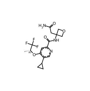 C[C@@H](Oc1cc(C(=O)NC2(CC(N)=O)COC2)ncc1C1CC1)C(F)(F)F